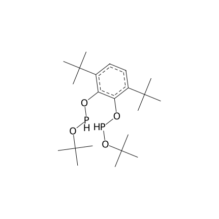 CC(C)(C)OPOc1c(C(C)(C)C)ccc(C(C)(C)C)c1OPOC(C)(C)C